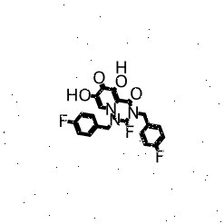 O=C1c2c(O)c(=O)c(O)cn2N(Cc2ccc(F)cc2)C(F)N1Cc1ccc(F)cc1